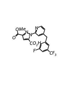 COC(=O)c1cc(C(=O)O)n(-c2cc(Cc3cc(F)cc(C(F)(F)F)c3)ccn2)n1